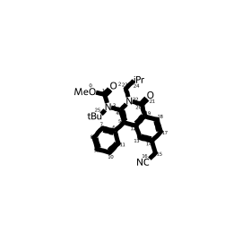 COC(=O)N(c1c(-c2ccccc2)c2cc(CC#N)ccc2c(=O)n1CC(C)C)C(C)(C)C